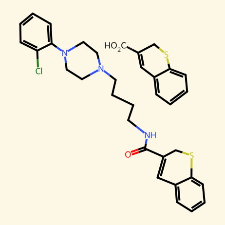 O=C(NCCCCN1CCN(c2ccccc2Cl)CC1)C1=Cc2ccccc2SC1.O=C(O)C1=Cc2ccccc2SC1